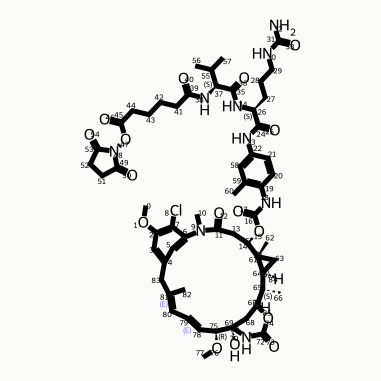 COc1cc2cc(c1Cl)N(C)C(=O)C[C@H](OC(=O)Nc1ccc(NC(=O)[C@H](CCCNC(N)=O)NC(=O)[C@@H](NC(=O)CCCCC(=O)ON3C(=O)CCC3=O)C(C)C)cc1C)[C@]1(C)C[C@H]1[C@H](C)[C@@H]1C[C@@](O)(NC(=O)O1)[C@H](OC)/C=C/C=C(\C)C2